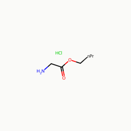 CCCCOC(=O)CN.Cl